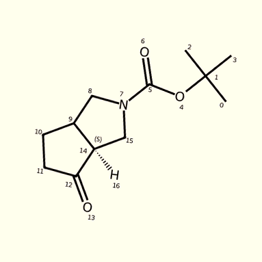 CC(C)(C)OC(=O)N1CC2CCC(=O)[C@@H]2C1